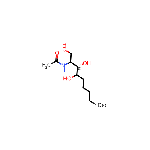 CCCCCCCCCCCCCCC(O)[C@@H](O)C(CO)NC(=O)C(F)(F)F